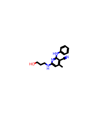 Cc1cc(NCCCO)nc(Nc2ccccc2)c1C#N